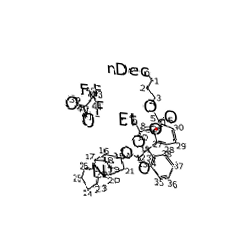 CCCCCCCCCCCCCOC(=O)OC(CC)OC(C(=O)OC1CC2CCC(C1)[N+]21CCCC1)(c1ccccc1)c1ccccc1.O=C([O-])C(F)(F)F